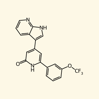 O=c1cc(-c2c[nH]c3ncccc23)cc(-c2cccc(OC(F)(F)F)c2)[nH]1